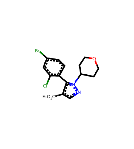 CCOC(=O)c1cnn(C2CCOCC2)c1-c1ccc(Br)cc1Cl